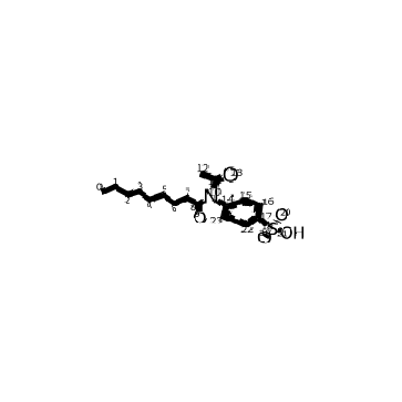 CCCCCCCCC(=O)N(C(C)=O)c1ccc(S(=O)(=O)O)cc1